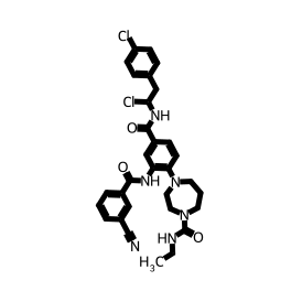 CCNC(=O)N1CCCN(c2ccc(C(=O)NC(Cl)Cc3ccc(Cl)cc3)cc2NC(=O)c2cccc(C#N)c2)CC1